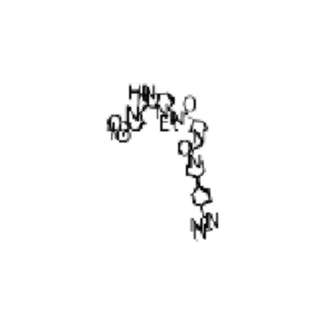 CCN(C(=O)[C@@H]1CCN(CC(=O)N2CC=C(c3ccc(-c4ncn(C)n4)cc3)CC2)C1)c1ccc2[nH]nc(-c3ccc4c(n3)OC(C)(C)O4)c2n1